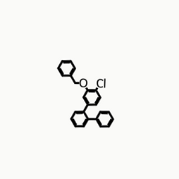 Clc1ccc(-c2ccccc2-c2ccccc2)cc1OCc1ccccc1